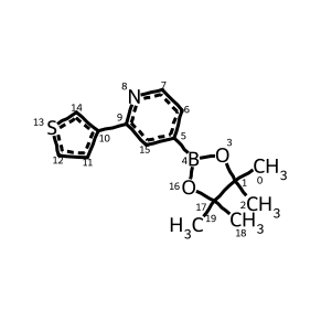 CC1(C)OB(c2ccnc(-c3ccsc3)c2)OC1(C)C